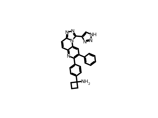 NC1(c2ccc(-c3nc4ccc5nnc(-c6c[nH]nn6)n5c4cc3-c3ccccc3)cc2)CCC1